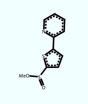 COS(=O)c1ccc(-c2ccccn2)s1